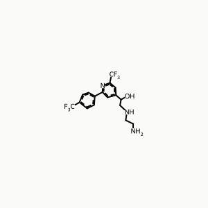 NCCNCC(O)c1cc(-c2ccc(C(F)(F)F)cc2)nc(C(F)(F)F)c1